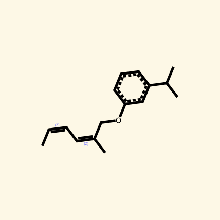 C/C=C\C=C(\C)COc1cccc(C(C)C)c1